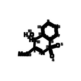 CSC1=NS(=O)(=O)c2cnccc2N1.O